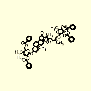 CC1O[C@@H](OC[C@@H](C)CCC(=O)[C@@H](C)C2C(=O)CC3C4CCC5CC(O[C@@H]6OC(COC(=O)c7ccccc7)[C@H](C)[C@H](C)C6OC(=O)c6ccccc6)CCC5(C)C4CCC32C)C(OC(=O)c2ccccc2)[C@@H](OC(=O)c2ccccc2)[C@H]1C